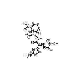 CS[N+]12C(=O)C(NC(=O)C(=NOC(C)C(=O)O)c3csc(N)n3)[C@@H]1SCC=C2C(=O)O